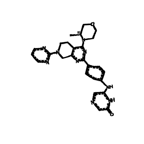 C[C@H]1COCCN1c1nc(-c2ccc(Nc3cncc(=O)[nH]3)cc2)nc2c1CCN(c1ncccn1)C2